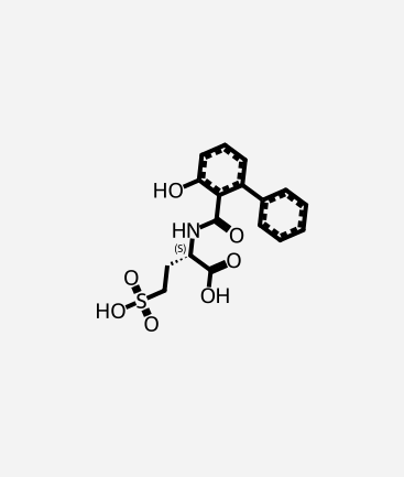 O=C(N[C@@H](CCS(=O)(=O)O)C(=O)O)c1c(O)cccc1-c1ccccc1